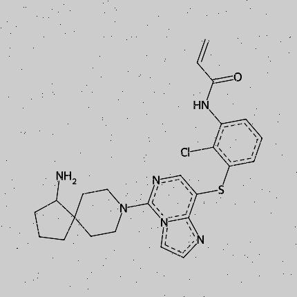 C=CC(=O)Nc1cccc(Sc2cnc(N3CCC4(CCCC4N)CC3)n3ccnc23)c1Cl